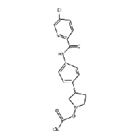 CC(C)(C)C(=O)ON1CCC(c2ccc(NC(=O)c3ccc(Cl)cn3)cc2)C1